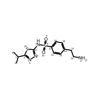 CC(C)c1nnc(NS(=O)(=O)c2ccc(CCN)cc2)s1